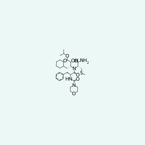 CSC[C@@H](C(N)=O)N(C(=O)[C@H](Cc1ccccc1)NC(=O)N1CCOCC1)[C@H](CC1CCCCC1)[C@@H](O)C(=O)OC(C)C